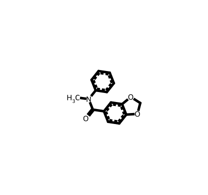 CN(C(=O)c1ccc2c(c1)OCO2)c1ccccc1